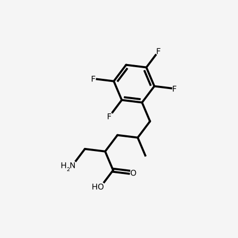 CC(Cc1c(F)c(F)cc(F)c1F)CC(CN)C(=O)O